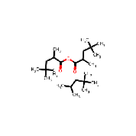 CC(C)CC(C)(C)C.CC(CC(C)(C)C)C(=O)OC(=O)C(C)CC(C)(C)C